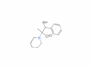 CC(C)(C)C(c1ccccc1)C(C)(C=O)N1CCCCC1